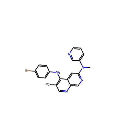 CN(c1cccnc1)c1cc2c(Nc3ccc(Br)cc3)c(C#N)cnc2cn1